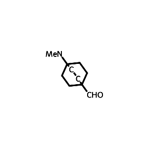 CNC12CCC(C=O)(CC1)CC2